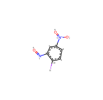 O=Nc1cc([N+](=O)[O-])ccc1I